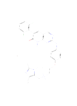 CC[N+](CC)(CCOc1ccc(Nc2ncc3cc(-c4c(Cl)cccc4Cl)c(=O)n(C)c3n2)cc1)Cc1c([N+](=O)[O-])nc(C)n1C.[Br-]